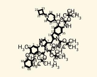 Cc1cc(-n2ncc(C(O)c3cc4cc(OC5CCN(C6CCC6)CC5)c(NC(=O)OC(C)(C)C)cc4n3C(=O)OC(C)(C)C)c2N(C(=O)OC(C)(C)C)C(=O)OC(C)(C)C)ccc1Oc1ccccc1F